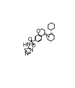 O=S(=O)(Nc1ncns1)c1ccc2c(c1)OCC[C@@H]2N1CCCC[C@H]1C1CCCCC1